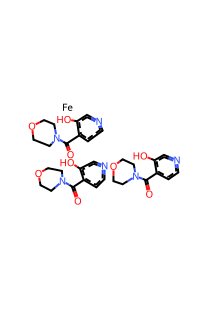 O=C(c1ccncc1O)N1CCOCC1.O=C(c1ccncc1O)N1CCOCC1.O=C(c1ccncc1O)N1CCOCC1.[Fe]